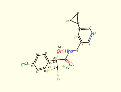 O=C(NCc1cncc(C2CC2)c1)[C@](O)(c1ccc(Cl)cc1)C(F)(F)F